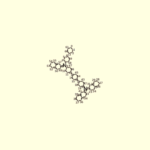 c1ccc(-c2ccc(N(c3ccc(-c4ccc(-c5ccc(N(c6ccc7ccccc7c6)c6ccc7ccccc7c6)cc5)cc4)cc3)c3ccc4ccccc4c3)cc2)cc1